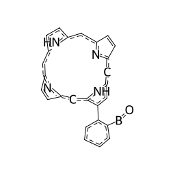 O=Bc1ccccc1-c1cc2cc3nc(cc4ccc(cc5nc(cc1[nH]2)C=C5)[nH]4)C=C3